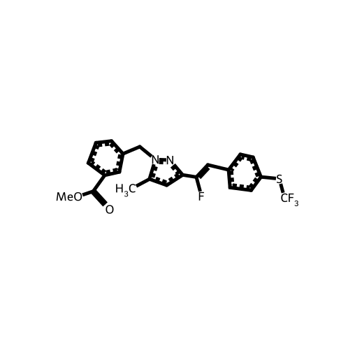 COC(=O)c1cccc(Cn2nc(/C(F)=C/c3ccc(SC(F)(F)F)cc3)cc2C)c1